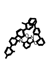 Cc1ccc(-c2ccc3c4ccc(-c5ccc(C)cc5C)cc4n(-c4cccc5c4C(=O)N(c4cc(-c6ccccc6)ccc4-c4ccccc4)C5=O)c3c2)c(C)c1